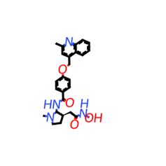 Cc1cc(COc2ccc(C(=O)NC3[C@@H](CC(=O)NO)CCN3C)cc2)c2ccccc2n1